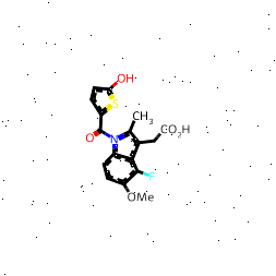 COc1ccc2c(c1F)c(CC(=O)O)c(C)n2C(=O)c1ccc(O)s1